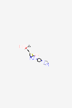 CN1CCCN(c2ccc(-n3cnc4cc(C#CC(C)(O)C5CC5)sc4c3=O)cc2)CC1